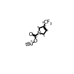 CC(C)(C)OC(=O)N1CC=C(C(F)(F)F)C1